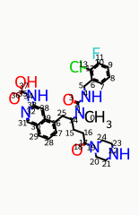 CN(C(=O)NCc1cccc(F)c1Cl)C(CCC(=O)N1CCNCC1)Cc1cccc2cnc(NC(=O)O)cc12